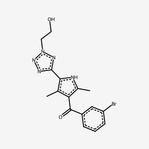 Cc1[nH]c(-c2nnn(CCO)n2)c(C)c1C(=O)c1cccc(Br)c1